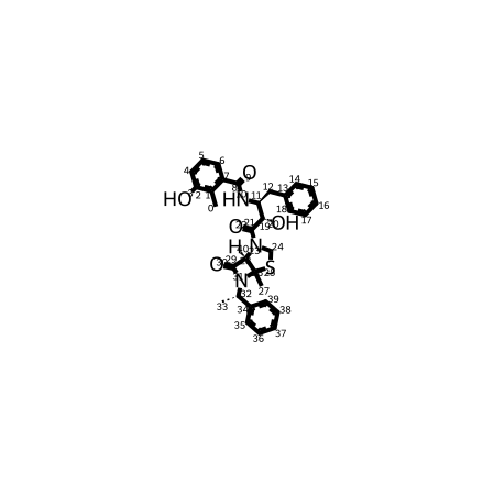 Cc1c(O)cccc1C(=O)N[C@@H](Cc1ccccc1)[C@H](O)C(=O)N1CSC2(C)[C@H]1C(=O)N2[C@@H](C)c1ccccc1